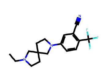 CCN1CCC2(CCN(c3ccc(C(F)(F)F)c(C#N)c3)C2)C1